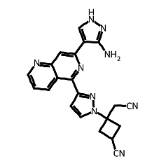 N#CCC1(n2ccc(-c3nc(-c4c[nH]nc4N)cc4ncccc34)n2)CC(C#N)C1